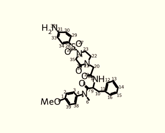 COc1ccc(N(C)C(=O)C(Cc2ccccc2)NC(=O)CN2CCN(S(=O)(=O)c3ccc(N)cc3)CC2=O)cc1